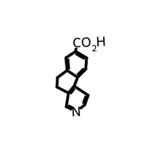 O=C(O)c1ccc2c(c1)CCc1cnccc1-2